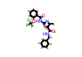 Cc1nc(NC(=O)c2ccccc2OC(F)(F)F)sc1C(=O)NCc1ccccc1